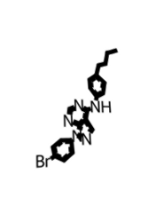 CCCCc1ccc(Nc2ncnc3c2cnn3-c2ccc(Br)cc2)cc1